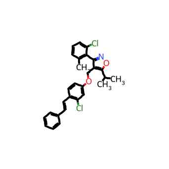 Cc1cccc(Cl)c1-c1noc(C(C)C)c1COc1ccc(/C=C/c2ccccc2)c(Cl)c1